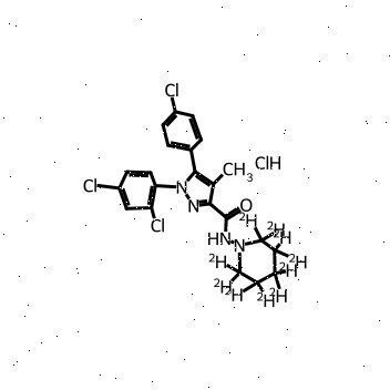 Cl.[2H]C1([2H])N(NC(=O)c2nn(-c3ccc(Cl)cc3Cl)c(-c3ccc(Cl)cc3)c2C)C([2H])([2H])C([2H])([2H])C([2H])([2H])C1([2H])[2H]